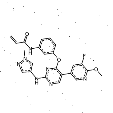 C=CC(=O)Nc1cccc(Oc2nc(Nc3cnn(C)c3)ncc2-c2cnc(OC)c(F)c2)c1